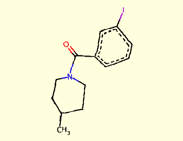 CC1CCN(C(=O)c2cccc(I)c2)CC1